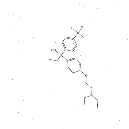 CCN(CC)CCOc1ccc(C(O)(CC)c2ccc(C(F)(F)F)cc2)cc1